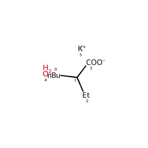 CCCCC(CC)C(=O)[O-].O.[K+]